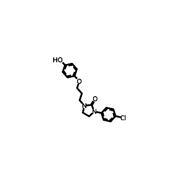 O=C1N(CCCOc2ccc(O)cc2)CCN1c1ccc(Cl)cc1